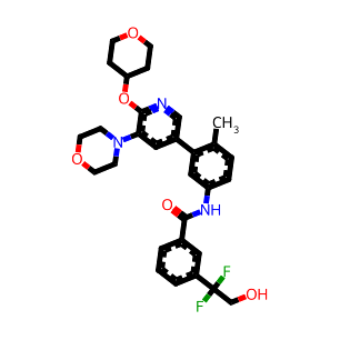 Cc1ccc(NC(=O)c2cccc(C(F)(F)CO)c2)cc1-c1cnc(OC2CCOCC2)c(N2CCOCC2)c1